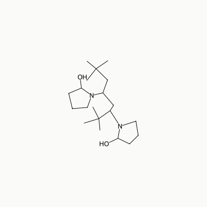 CC(C)(C)CC(CC(N1CCCC1O)C(C)(C)C)N1CCCC1O